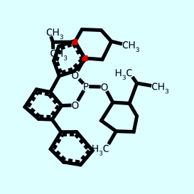 CC1CCC(C(C)C)C(OP(Oc2c(-c3ccccc3)cccc2-c2ccccc2)OC2CC(C)CCC2C(C)C)C1